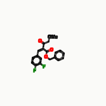 COCC(=O)C(=Cc1ccc(F)c(F)c1)C(=O)OCc1ccccc1